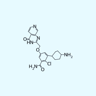 NC(=O)c1cc(OCc2nc3cnccc3c(=O)[nH]2)cc(C2CCC(N)CC2)c1Cl